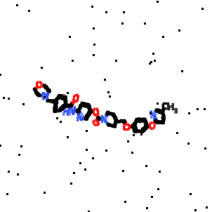 Cc1ccc(Oc2ccc(OCC3CCN(C(=O)Oc4ccc(NC(=O)c5ccc(CN6CCOCC6)cc5)nc4)CC3)cc2)nc1